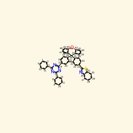 c1ccc(-c2nc(-c3ccccc3)nc(-c3ccc4c(c3)-c3cc(-c5nc6ccccc6s5)ccc3C43c4ccccc4Oc4ccccc43)n2)cc1